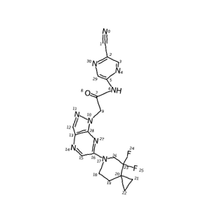 N#Cc1cnc(NC(=O)Cn2ncc3ncc(N4CCC5(CC5)C(F)(F)C4)nc32)cn1